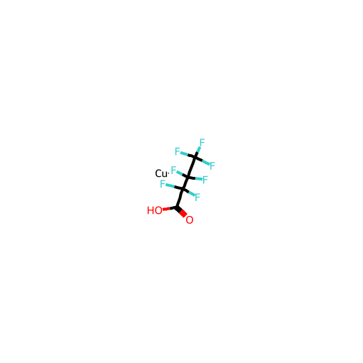 O=C(O)C(F)(F)C(F)(F)C(F)(F)F.[Cu]